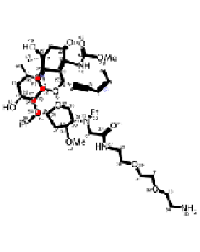 C/C=C\C#C[C@H](O[C@@H]1O[C@H](C)C[C@H](O)[C@H]1O[C@H]1C[C@H](OC)[C@@H](N(CC)CC(=O)NCCOCCOCCN)CO1)C1=C(NC(=O)OC)C(=O)C[C@](C)(O)/C1=C/CSSC(C)C